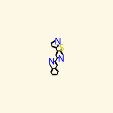 c1ccc2cc(-c3cc4c(cn3)sc3ncccc34)ncc2c1